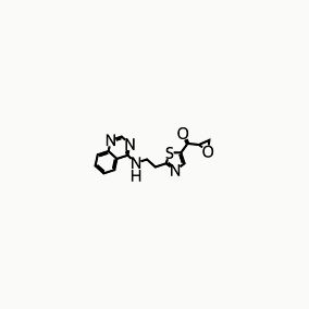 O=C(c1cnc(CCNc2ncnc3ccccc23)s1)C1CO1